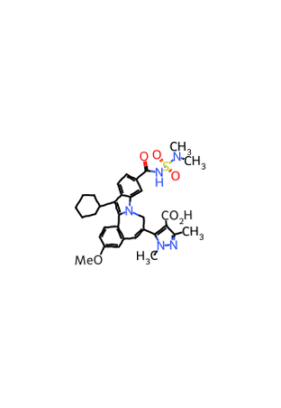 COc1ccc2c(c1)C=C(c1c(C(=O)O)c(C)nn1C)Cn1c-2c(C2CCCCC2)c2ccc(C(=O)NS(=O)(=O)N(C)C)cc21